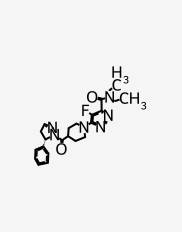 CCN(CC)C(=O)c1ncnc(N2CCC(C(=O)N3N=CC[C@H]3c3ccccc3)CC2)c1F